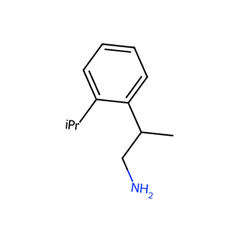 CC(C)c1ccccc1C(C)CN